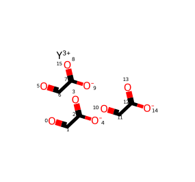 O=CC(=O)[O-].O=CC(=O)[O-].O=CC(=O)[O-].[Y+3]